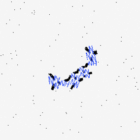 Cc1nc(C)nc(NCCCN(CCCN(CCCNc2nc(C)nc(C)n2)c2nc(C)nc(C)n2)c2ncnc(C)n2)n1